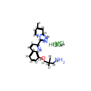 Cc1ccn2c(-c3ccc4cccc(OCC(C)(C)CN)c4n3)nnc2c1.Cl.Cl.Cl